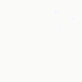 CCCCCCCCN1CNCNC1